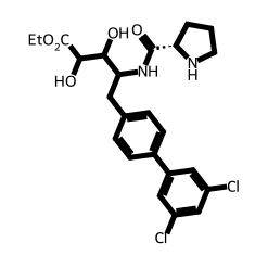 CCOC(=O)C(O)C(O)C(Cc1ccc(-c2cc(Cl)cc(Cl)c2)cc1)NC(=O)[C@@H]1CCCN1